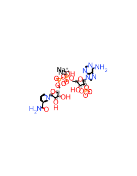 NC(=O)c1ccc[n+]([C@@H]2O[C@H](COP(=O)([O-])OP(=O)(O)OC[C@H]3O[C@@H](n4cnc5c(N)ncnc54)[C@H](OP(=O)([O-])[O-])[C@H]3O)[C@H](O)[C@H]2O)c1.[Na+].[Na+]